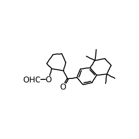 CC1(C)CCC(C)(C)c2cc(C(=O)C3CCCCC3OC=O)ccc21